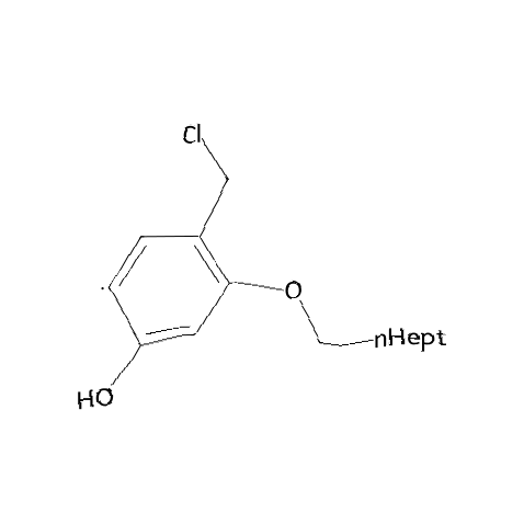 CCCCCCCCOc1cc(O)[c]cc1CCl